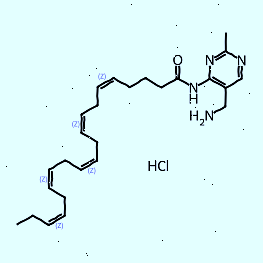 CC/C=C\C/C=C\C/C=C\C/C=C\C/C=C\CCCC(=O)Nc1nc(C)ncc1CN.Cl